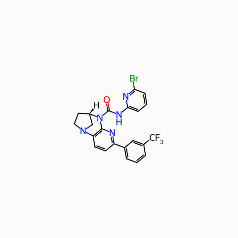 O=C(Nc1cccc(Br)n1)N1c2nc(-c3cccc(C(F)(F)F)c3)ccc2N2CC[C@H]1C2